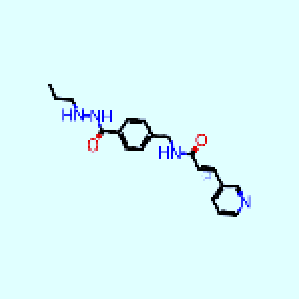 CCCNNC(=O)c1ccc(CNC(=O)/C=C/c2cccnc2)cc1